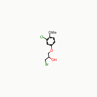 COc1ccc(OCC(O)CBr)cc1Cl